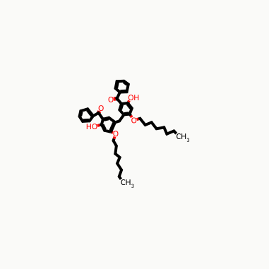 CCCCCCCCOc1cc(O)c(C(=O)c2ccccc2)cc1Cc1cc(C(=O)c2ccccc2)c(O)cc1OCCCCCCCC